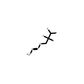 FC(F)C(F)(F)COP=NP